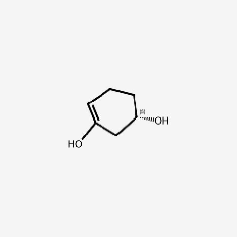 OC1=CCC[C@H](O)C1